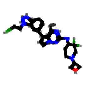 COc1nc(NC2CCN(C3COC3)CC2(F)F)nn2ccc(-c3ccc4nnn(CCF)c4c3)c12